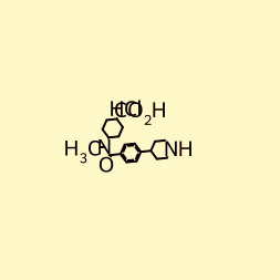 CN(C(=O)c1ccc(C2CCNCC2)cc1)[C@H]1CC[C@H](C(=O)O)CC1.Cl